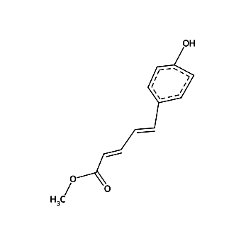 COC(=O)C=CC=Cc1ccc(O)cc1